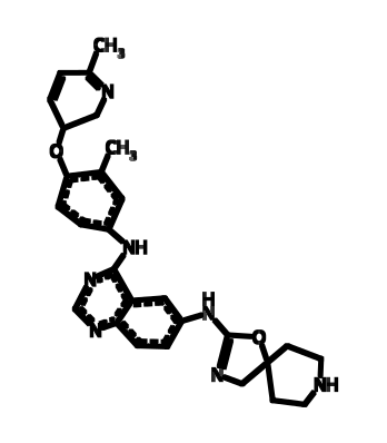 CC1=NCC(Oc2ccc(Nc3ncnc4ccc(NC5=NCC6(CCNCC6)O5)cc34)cc2C)C=C1